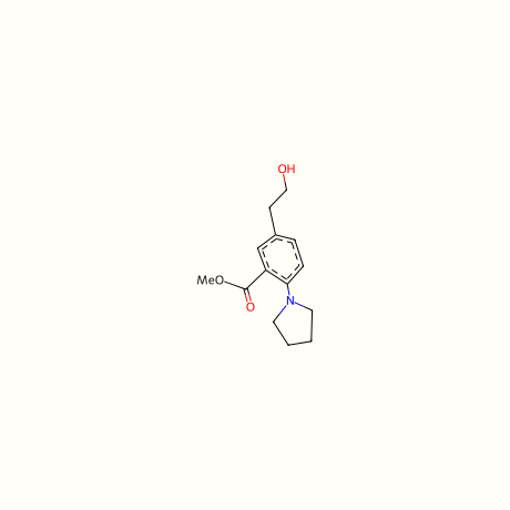 COC(=O)c1cc(CCO)ccc1N1CCCC1